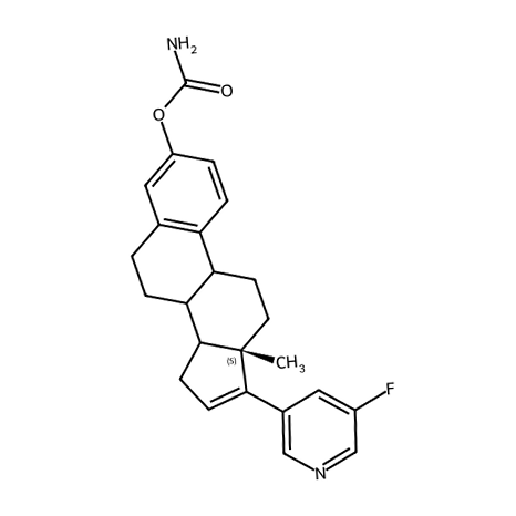 C[C@]12CCC3c4ccc(OC(N)=O)cc4CCC3C1CC=C2c1cncc(F)c1